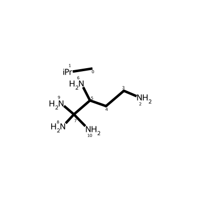 CC(C)C.NCCC(N)C(N)(N)N